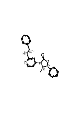 C[C@H](Nc1nccc(N2C(=O)O[C@@H](c3ccccc3)[C@H]2C)n1)c1ccccc1